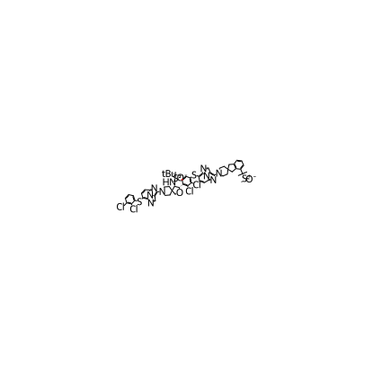 C[S+]([O-])C(C)(C)c1cccc2c1CC1(CCN(c3nc4ccc(Sc5ccc([C@@H]6OCC7(CCN(c8nc9ccc(Sc%10cccc(Cl)c%10Cl)c%10ncc8n9%10)CC7)[C@@H]6N[S@+]([O-])C(C)(C)C)c(Cl)c5Cl)c5ncc3n45)CC1)C2